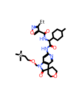 CCc1nocc1C(=O)NC(C(=O)Nc1cc2c(cn1)C1(CCOCC1)C(=O)N2COCC[Si](C)(C)C)C1CCC(C)CC1